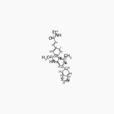 CCNC(=O)C=Cc1cccc([C@H](C)Nc2cc(-c3ccc4ncsc4c3)nc(C)n2)c1